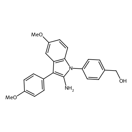 COc1ccc(-c2c(N)n(-c3ccc(CO)cc3)c3ccc(OC)cc23)cc1